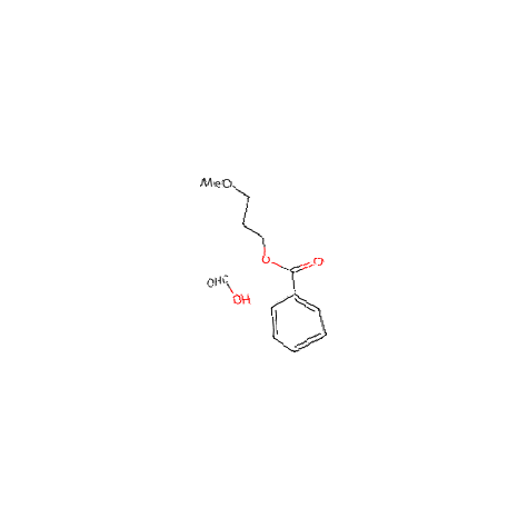 COCCCOC(=O)c1ccccc1.O=CO